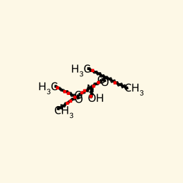 CCCCCCCCCCCCCC(CCCCCCCCCC)C(=O)OCCCCCCN(CCCCO)CCCCCCOC(=O)C(CCCCCCCCCCC)CCCCCCCCCCCC